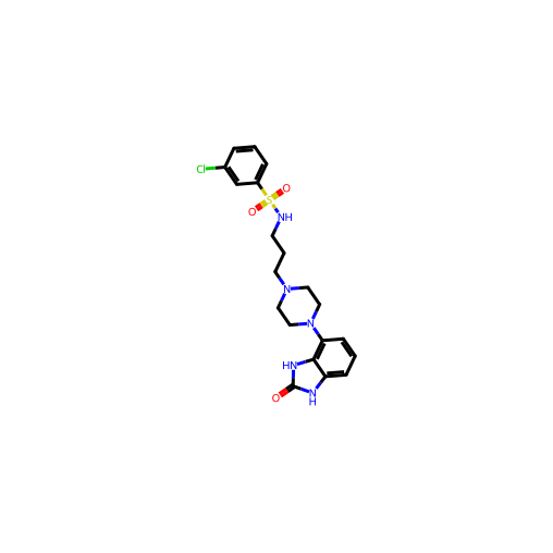 O=c1[nH]c2cccc(N3CCN(CCCNS(=O)(=O)c4cccc(Cl)c4)CC3)c2[nH]1